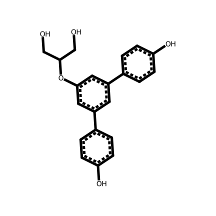 OCC(CO)Oc1cc(-c2ccc(O)cc2)cc(-c2ccc(O)cc2)c1